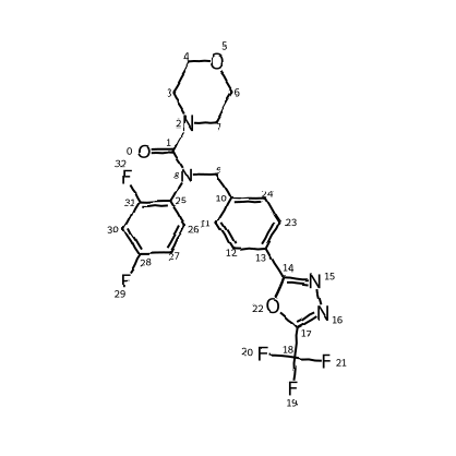 O=C(N1CCOCC1)N(Cc1ccc(-c2nnc(C(F)(F)F)o2)cc1)c1ccc(F)cc1F